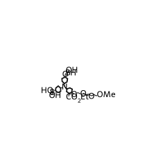 CCOC(=O)c1cc(N(c2ccc(OBO)cc2)c2ccc(B(O)O)cc2)ccc1OCCOCCOCCOC